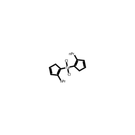 CCCC1=[C]([Ta]([Cl])([Cl])[C]2=C(CCC)C=CC2)CC=C1